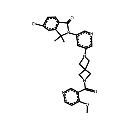 COc1ccncc1C(=O)N1CC2(C1)CN(c1cncc(N3C(=O)c4ccc(Cl)cc4C3(C)C)c1)C2